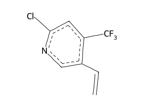 C=Cc1cnc(Cl)cc1C(F)(F)F